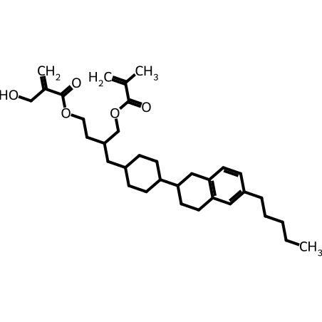 C=C(C)C(=O)OCC(CCOC(=O)C(=C)CO)CC1CCC(C2CCc3cc(CCCCC)ccc3C2)CC1